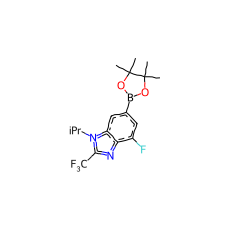 CC(C)n1c(C(F)(F)F)nc2c(F)cc(B3OC(C)(C)C(C)(C)O3)cc21